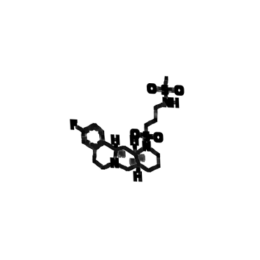 CS(=O)(=O)NCCCS(=O)(=O)N1CCC[C@@H]2CN3CCc4cc(F)ccc4[C@@H]3C[C@@H]21